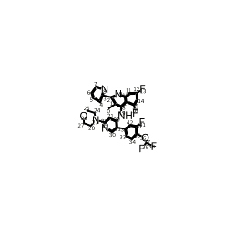 Cc1c(-c2ccccn2)nc2cc(F)cc(F)c2c1Nc1cc(N2CCOCC2)ncc1-c1ccc(OC(F)F)c(F)c1